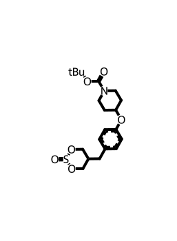 CC(C)(C)OC(=O)N1CCC(Oc2ccc(CC3COS(=O)OC3)cc2)CC1